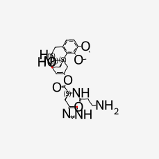 COc1ccc2c(c1OC)[C@@]13CCN(C)[C@@H](C2)[C@@]1(O)CC=C(OC(=O)[C@H](Cc1c[nH]cn1)NC(=O)CCN)C3